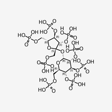 O=P(O)(O)OC[C@H]1O[C@@](COP(=O)(O)O)(O[C@H]2O[C@H](COP(=O)(O)O)[C@@H](OP(=O)(O)O)[C@H](OP(=O)(O)O)[C@H]2OP(=O)(O)O)[C@@H](OP(=O)(O)O)[C@@H]1OP(=O)(O)O